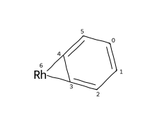 c1cc[c]2[c](c1)[Rh]2